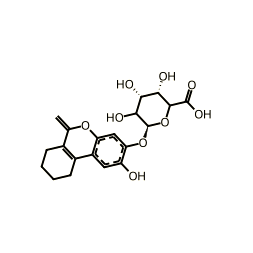 C=C1Oc2cc(O[C@@H]3OC(C(=O)O)[C@@H](O)[C@@H](O)C3O)c(O)cc2C2=C1CCCC2